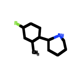 CC1CC(F)CCC1C1CCCCN1